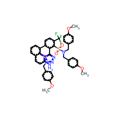 COc1ccc(CN(Cc2ccc(OC)cc2)S(=O)(=O)c2c(C(F)(F)F)ccc(-c3cccc4ccc(N)nc34)c2-c2nnn(Cc3ccc(OC)cc3)n2)cc1